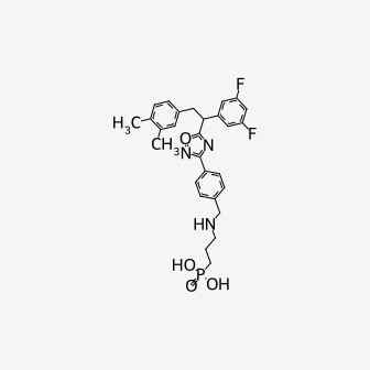 Cc1ccc(CC(c2cc(F)cc(F)c2)c2nc(-c3ccc(CNCCCP(=O)(O)O)cc3)no2)cc1C